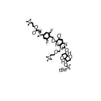 C/S(=N\C(=O)OCC[Si](C)(C)C)c1cc(F)c(COc2nc3c(cc2Cl)nc(O[C@@H]2CO[C@H]4[C@@H]2OC[C@H]4O[Si](C)(C)C(C)(C)C)n3COCC[Si](C)(C)C)c(F)c1